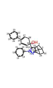 CC1(C)C2Cc3c(nn(-c4ccccc4)c3C3(O)C=CC(c4ccccc4)=CC3)C1C2